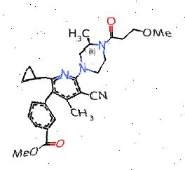 COCCC(=O)N1CCN(c2nc(C3CC3)c(-c3cccc(C(=O)OC)c3)c(C)c2C#N)C[C@H]1C